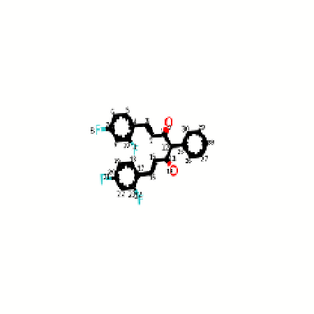 O=C(C=Cc1ccc(F)cc1F)C(C(=O)C=Cc1ccc(F)cc1F)c1ccccc1